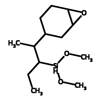 CCC(C(C)C1CCC2OC2C1)[SiH](OC)OC